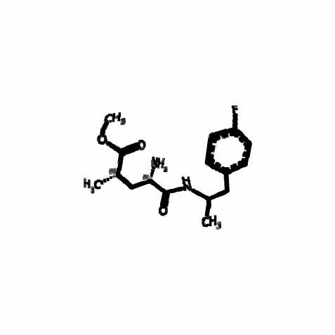 COC(=O)[C@@H](C)C[C@H](N)C(=O)NC(C)Cc1ccc(F)cc1